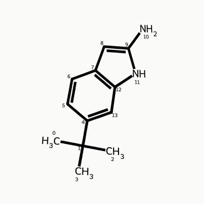 CC(C)(C)c1ccc2cc(N)[nH]c2c1